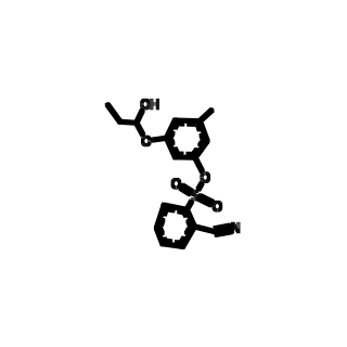 CCC(O)Oc1cc(C)cc(OS(=O)(=O)c2ccccc2C#N)c1